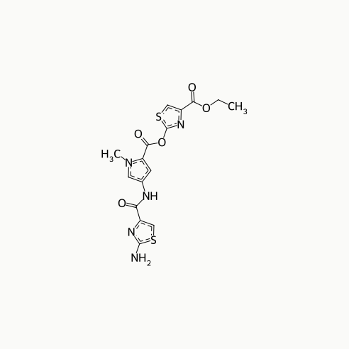 CCOC(=O)c1csc(OC(=O)c2cc(NC(=O)c3csc(N)n3)cn2C)n1